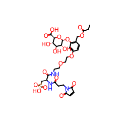 CCC(=O)OCc1ccc(OCCOCCNC(=O)[C@H](CS(=O)(=O)O)NC(=O)CCN2C(=O)C=CC2=O)cc1O[C@@H]1O[C@H](C(=O)O)[C@@H](O)[C@H](O)[C@H]1O